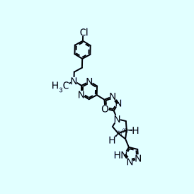 CN(CCc1ccc(Cl)cc1)c1ncc(-c2nnc(N3C[C@@H]4C(c5cnn[nH]5)[C@@H]4C3)o2)cn1